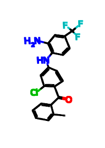 Cc1ccccc1C(=O)c1ccc(Nc2ccc(C(F)(F)F)cc2N)cc1Cl